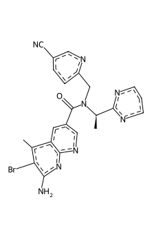 Cc1c(Br)c(N)nc2ncc(C(=O)N(Cc3ccc(C#N)cn3)[C@H](C)c3ncccn3)cc12